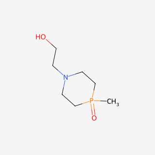 CP1(=O)CCN(CCO)CC1